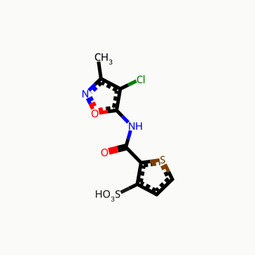 Cc1noc(NC(=O)c2sccc2S(=O)(=O)O)c1Cl